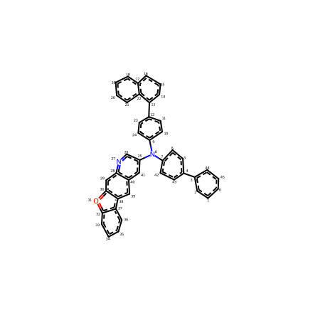 c1ccc(-c2ccc(N(c3ccc(-c4cccc5ccccc45)cc3)c3cnc4cc5oc6ccccc6c5cc4c3)cc2)cc1